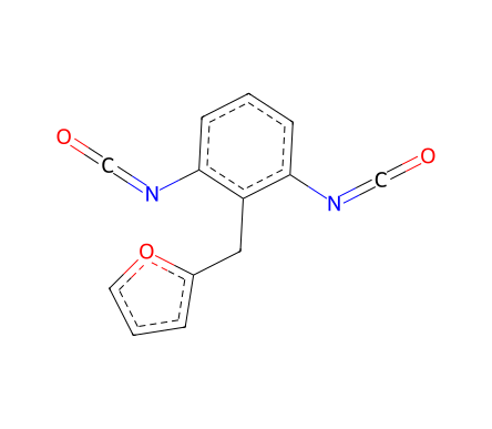 O=C=Nc1cccc(N=C=O)c1Cc1ccco1